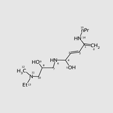 C=C(/C=C/C(O)NCC(O)CN(C)CC)NCCC